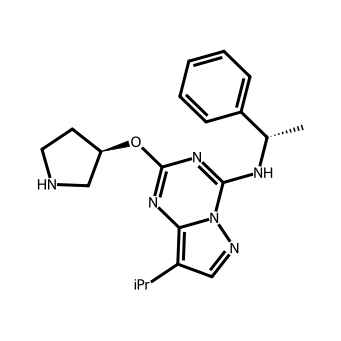 CC(C)c1cnn2c(N[C@@H](C)c3ccccc3)nc(O[C@@H]3CCNC3)nc12